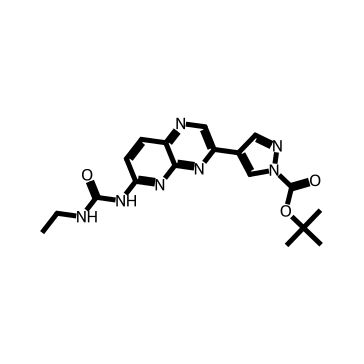 CCNC(=O)Nc1ccc2ncc(-c3cnn(C(=O)OC(C)(C)C)c3)nc2n1